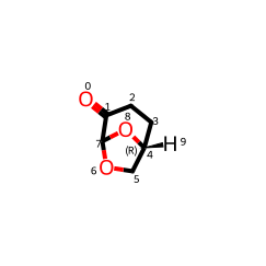 O=C1CC[C@@H]2COC1O2